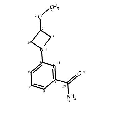 COC1CN(c2cc[c]c(C(N)=O)n2)C1